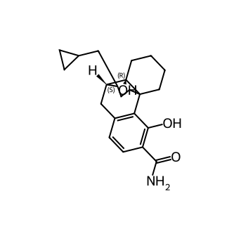 NC(=O)c1ccc2c(c1O)C13CCCC[C@@]1(O)[C@@H](C2)C(CC1CC1)CC3